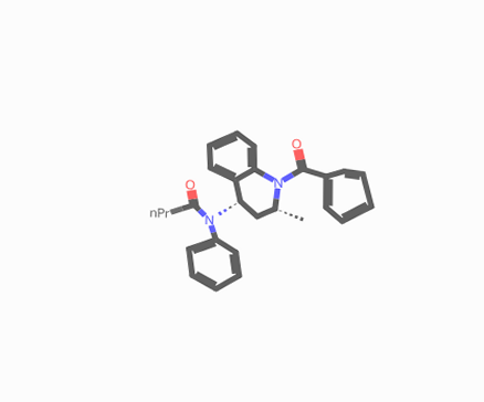 CCCC(=O)N(c1ccccc1)[C@H]1C[C@@H](C)N(C(=O)c2ccccc2)c2ccccc21